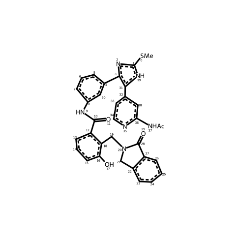 CSc1nc(-c2cccc(NC(=O)c3cccc(O)c3CN3Cc4ccccc4C3=O)c2)c(-c2ccnc(NC(C)=O)c2)[nH]1